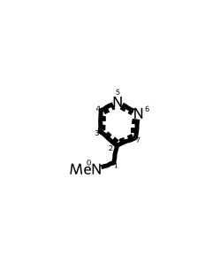 CNCc1ccnnc1